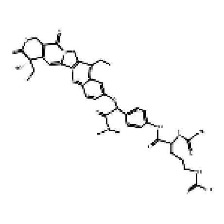 CCc1c2c(nc3ccc(OC(C(=O)N(C)C)c4ccc(NC(=O)C(CCCNC(N)=O)NC(=O)O)cc4)cc13)-c1cc3c(c(=O)n1C2)COC(=O)[C@]3(O)CC